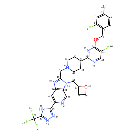 Fc1cc(Cl)ccc1COc1nc(C2CCN(Cc3nc4cc(-c5nnc(C(F)(F)F)[nH]5)ncc4n3CC3CCO3)CC2)ncc1F